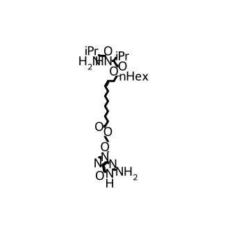 CCCCCC[C@H](C/C=C\CCCCCCCC(=O)OCCOCn1cnc2c(=O)[nH]c(N)nc21)OC(=O)C(NC(=O)C(N)C(C)C)C(C)C